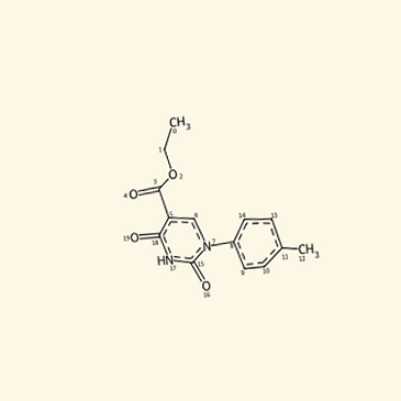 CCOC(=O)c1cn(-c2ccc(C)cc2)c(=O)[nH]c1=O